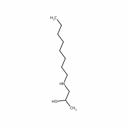 CCCCCCCCNCC(C)O